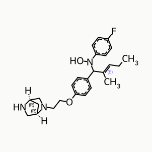 CC/C=C(\C)C(c1ccc(OCCN2C[C@H]3C[C@@H]2CN3)cc1)N(O)c1ccc(F)cc1